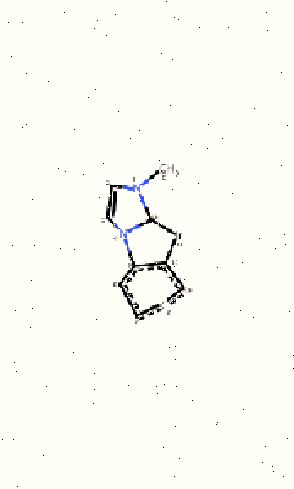 CN1C=CN2c3cccc[c]3[Ir][CH]12